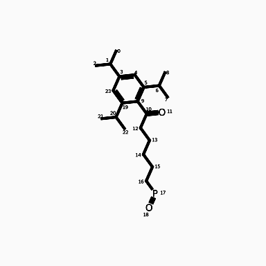 CC(C)c1cc(C(C)C)c(C(=O)CCCCCP=O)c(C(C)C)c1